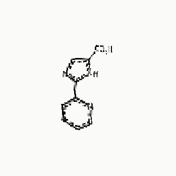 O=C(O)c1cnc(-c2ccccn2)[nH]1